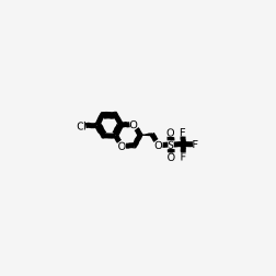 O=S(=O)(OC[C@H]1COc2cc(Cl)ccc2O1)C(F)(F)F